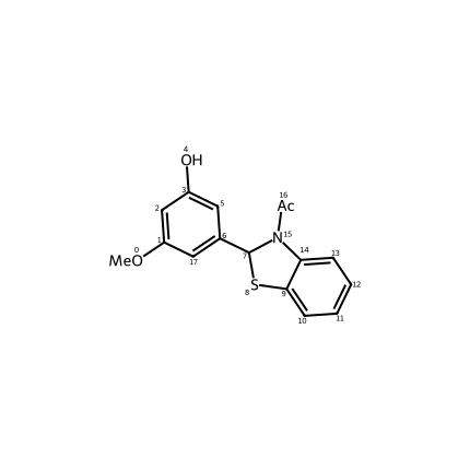 COc1cc(O)cc(C2Sc3ccccc3N2C(C)=O)c1